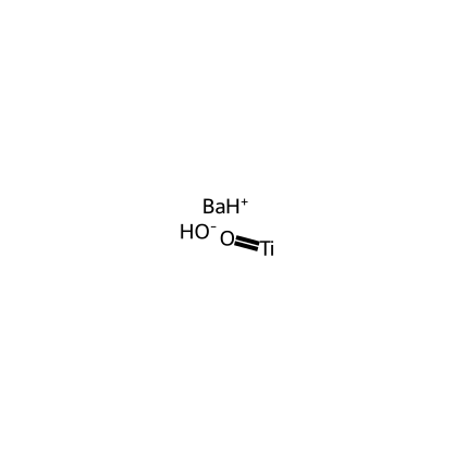 [BaH+].[OH-].[O]=[Ti]